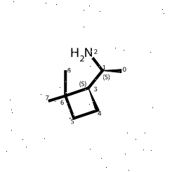 C[C@H](N)[C@H]1C[CH]C1(C)C